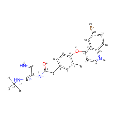 Cc1cc(CC(=O)N/C(C=N)=C/NC(C)(C)C)ccc1Oc1ccnc2ccc(Br)cc12